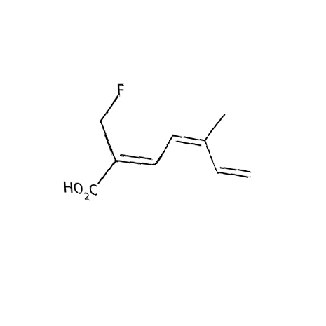 C=CC(C)=CC=C(CF)C(=O)O